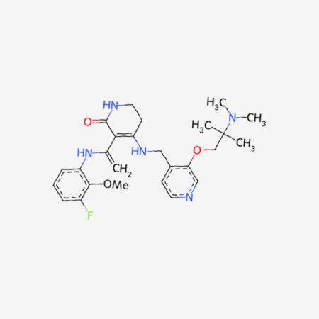 C=C(Nc1cccc(F)c1OC)C1=C(NCc2ccncc2OCC(C)(C)N(C)C)CCNC1=O